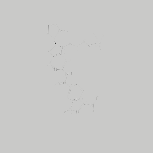 CN1CCC[C@@H]1c1cc2cnc(NC(=O)c3ccc4c(C(F)F)nn(C)c4c3)cc2n1COCC[Si](C)(C)C